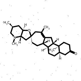 CC1=C2C[C@H]3[C@@H](CC[C@@H]4CC(=O)CC[C@@]43C)[C@@H]2CC[C@]2(C1)C[C@H]1[C@@H](C[C@H](C)CN1C)O2